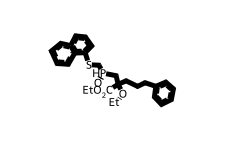 CCOC(=O)C(CCCc1ccccc1)(C[PH](=O)CSc1cccc2ccccc12)OCC